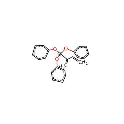 C=CC(=C)[Si](Oc1ccccc1)(Oc1ccccc1)Oc1ccccc1